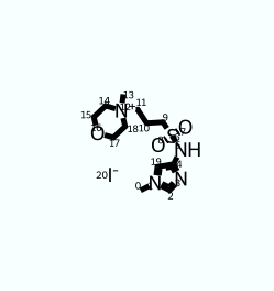 Cn1cnc(NS(=O)(=O)CCC[N+]2(C)CCOCC2)c1.[I-]